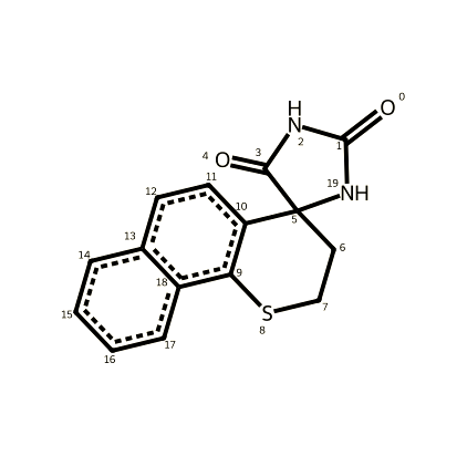 O=C1NC(=O)C2(CCSc3c2ccc2ccccc32)N1